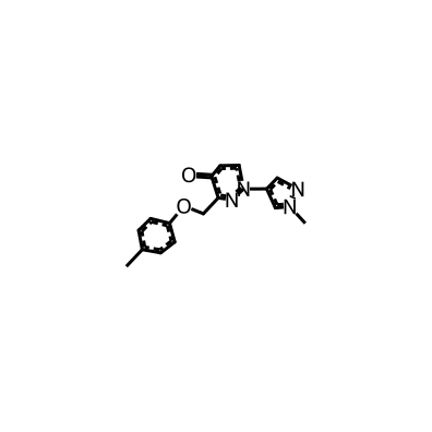 Cc1ccc(OCc2nn(-c3cnn(C)c3)ccc2=O)cc1